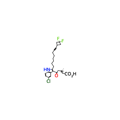 C[C@H](CC(=O)O)CC(=O)c1c(CCCCCCC#CC2CC(F)(F)C2)[nH]c2ccc(Cl)cc12